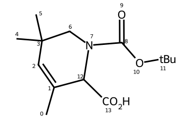 CC1=CC(C)(C)CN(C(=O)OC(C)(C)C)C1C(=O)O